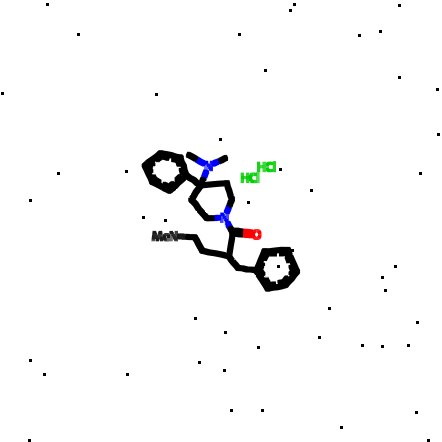 CNCCC(Cc1ccccc1)C(=O)N1CCC(c2ccccc2)(N(C)C)CC1.Cl.Cl